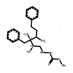 CC(CCc1ccccc1)[C@@](N)(Cc1ccccc1)[C@H](O)CNNC(=O)OC(C)(C)C